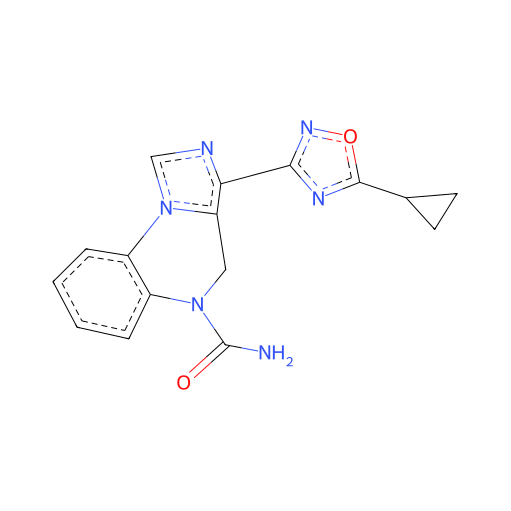 NC(=O)N1Cc2c(-c3noc(C4CC4)n3)ncn2-c2ccccc21